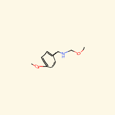 COCNCc1ccc(OC)cc1